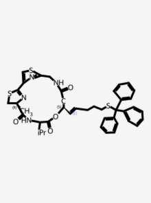 CC(C)C1NC(=O)[C@]2(C)CSC(=N2)c2csc(n2)CNC(=O)C[C@@H](/C=C/CCCSC(c2ccccc2)(c2ccccc2)c2ccccc2)OC1=O